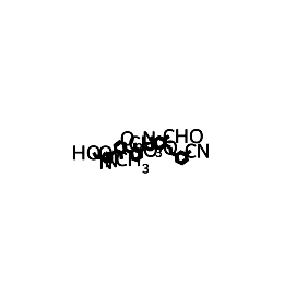 Cc1c(COc2cc(OCc3cccc(C#N)c3)c(C=O)cc2[N+](=O)[O-])cccc1-c1cccc(-c2nnc(CO)o2)c1C